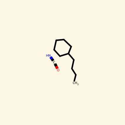 CCCCC1CCCCC1.N=C=O